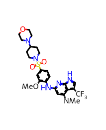 CNc1cc(Nc2ccc(S(=O)(=O)N3CCC(N4CCOCC4)CC3)cc2OC)nc2[nH]cc(C(F)(F)F)c12